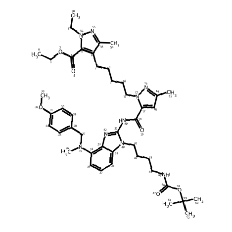 CCOC(=O)c1c(CCCCCn2nc(C)cc2C(=O)Nc2nc3c(N(C)Cc4ccc(OC)cc4)cccc3n2CCCCNC(=O)OC(C)(C)C)c(C)nn1CC